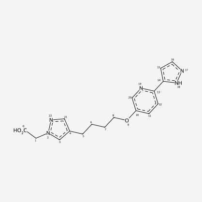 O=C(O)Cn1cc(CCCCOc2ccc(-c3ccn[nH]3)nc2)cn1